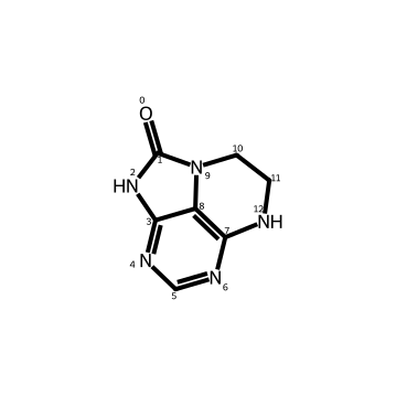 O=c1[nH]c2ncnc3c2n1CCN3